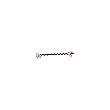 C=C(C)C(=O)OCCCCCCCCCCCCCCCCCCCC[Si](OC)(OC)OC